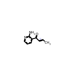 C/C=C/C(=O)c1cccnc1N